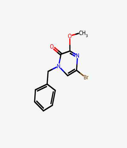 COc1nc(Br)cn(Cc2ccccc2)c1=O